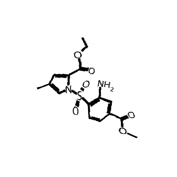 CCOC(=O)c1cc(C)cn1S(=O)(=O)c1ccc(C(=O)OC)cc1N